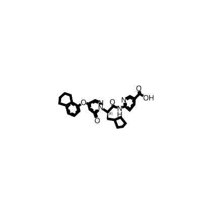 O=C(O)c1ccc(NC(=O)[C@@H](CC2CCCC2)n2ncc(Oc3cccc4c3CCCC4)cc2=O)nc1